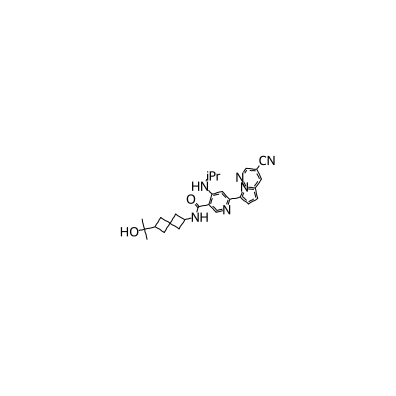 CC(C)Nc1cc(-c2ccc3cc(C#N)cnn23)ncc1C(=O)NC1CC2(C1)CC(C(C)(C)O)C2